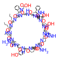 CCCC[C@H]1C(=O)N(C)[C@@H](CCCC)C(=O)N[C@@H](CC(C)C)C(=O)N[C@H](C(N)=O)CNCC(=O)N[C@@H](Cc2ccc(O)cc2)C(=O)N2CCCC[C@H]2C(=O)N[C@@H](CC(N)=O)C(=O)N2CCCC2C(=O)N[C@@H](Cc2c[nH]cn2)C(=O)N[C@@H](CC(=O)O)C(=O)N2C[C@H](O)C[C@H]2C(=O)N[C@@H](Cc2c[nH]c3ccccc23)C(=O)N[C@@H](C)C(=O)N[C@@H](Cc2cn(CC(=O)O)c3ccccc23)C(=O)N1C